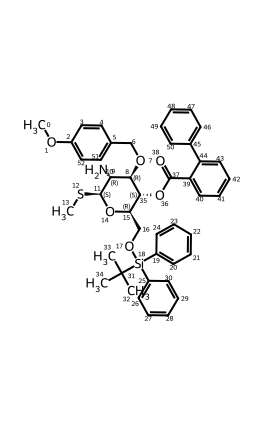 COc1ccc(CO[C@@H]2[C@@H](N)[C@H](SC)O[C@H](CO[Si](c3ccccc3)(c3ccccc3)C(C)(C)C)[C@H]2OC(=O)c2ccccc2-c2ccccc2)cc1